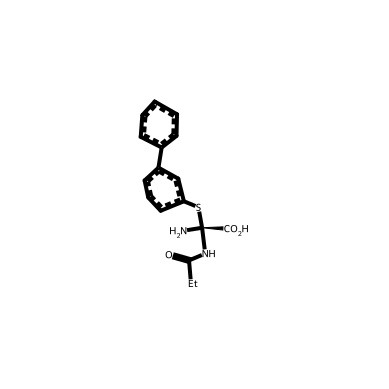 CCC(=O)N[C@](N)(Sc1cccc(-c2ccccc2)c1)C(=O)O